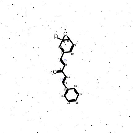 O=C(/C=C/C1=C[C@@H]2OC2C=C1)/C=C/c1ccccc1